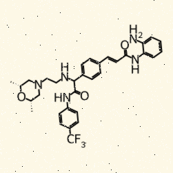 C[C@@H]1CN(CCNC(C(=O)Nc2ccc(C(F)(F)F)cc2)c2ccc(/C=C/C(=O)Nc3ccccc3N)cc2)C[C@H](C)O1